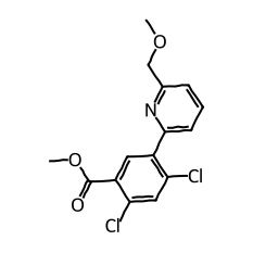 COCc1cccc(-c2cc(C(=O)OC)c(Cl)cc2Cl)n1